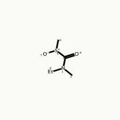 CCN(C)C(=O)[S+](C)[O-]